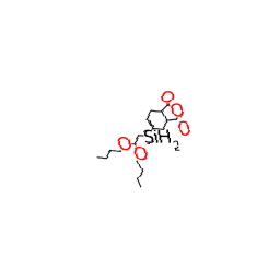 CCCCOC(C[SiH2]C1=CCC2C(=O)OC(=O)C2C1)OCCCC